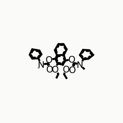 CCOc1c(OCC)c(OC(=O)N(C)c2ccccc2)c2ccccc2c1OC(=O)N(C)c1ccccc1